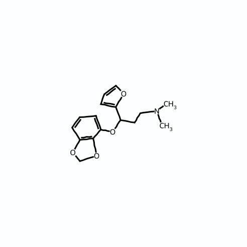 CN(C)CCC(Oc1cccc2c1OCO2)c1ccco1